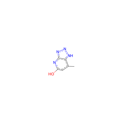 Cc1cc(O)nc2nn[nH]c12